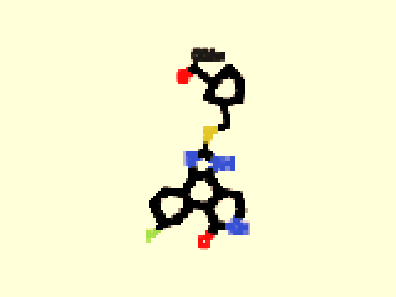 COC(=O)c1cccc(CSc2nc3c4ccc(F)cc4c4c(=O)[nH]ccc4c3[nH]2)c1